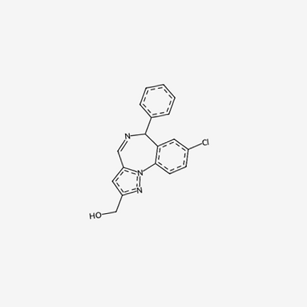 OCc1cc2n(n1)-c1ccc(Cl)cc1C(c1ccccc1)N=C2